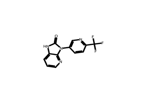 O=c1[nH]c2cccnc2n1-c1ccc(C(F)(F)F)nc1